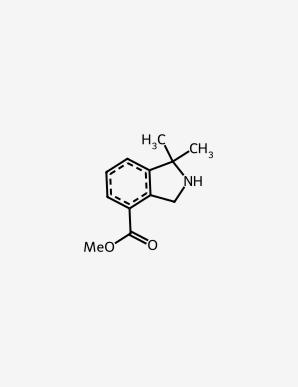 COC(=O)c1cccc2c1CNC2(C)C